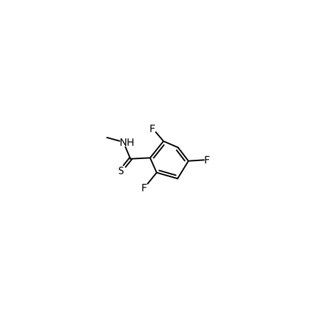 CNC(=S)c1c(F)cc(F)cc1F